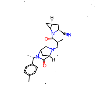 Cc1ccc([C@H](C)N2C(=O)[C@@H]3CC2CN3C[C@H](C)C(=O)N2C3C[C@H]3C[C@H]2C#N)cc1